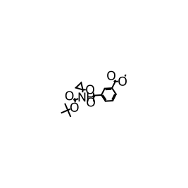 COC(=O)c1cccc(C(=O)OC2(NC(=O)OC(C)(C)C)CC2)c1